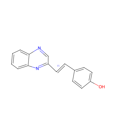 Oc1ccc(/C=C/c2cnc3ccccc3n2)cc1